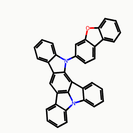 c1ccc2c(c1)oc1cc(-n3c4ccccc4c4cc5c6ccccc6n6c7ccccc7c(c43)c56)ccc12